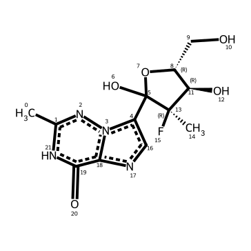 Cc1nn2c(C3(O)O[C@H](CO)[C@@H](O)[C@@]3(C)F)cnc2c(=O)[nH]1